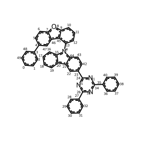 c1ccc(-c2ccc3oc4cccc(-n5c6ccccc6c6cc(-c7nc(-c8ccccc8)nc(-c8ccccc8)n7)ccc65)c4c3c2)cc1